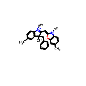 CCCN1/C(=C/C2=[N+](CCC)c3ccc(C)cc3C2(C)Cc2ccccc2)Oc2cc(C)ccc21